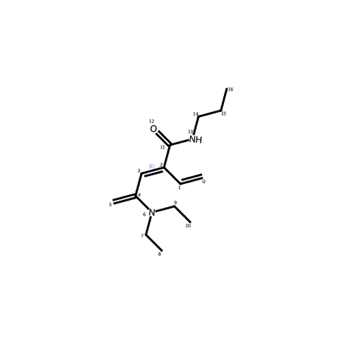 C=C/C(=C\C(=C)N(CC)CC)C(=O)NCCC